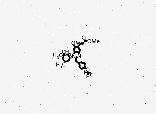 COC(=O)CCc1cc2nc(Cc3ccc(OC(F)(F)I)cc3)n([C@@H]3C[C@H](C)CC(C)(C)C3)c2cc1OC